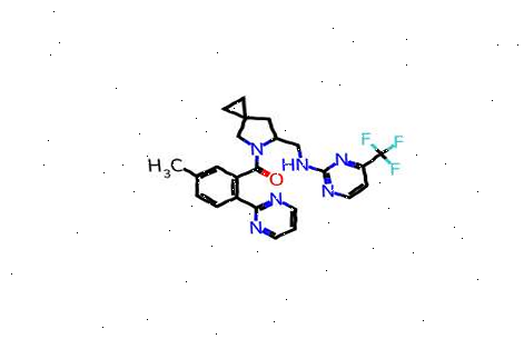 Cc1ccc(-c2ncccn2)c(C(=O)N2CC3(CC3)CC2CNc2nccc(C(F)(F)F)n2)c1